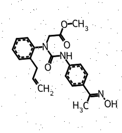 C=CCc1ccccc1N(CC(=O)OC)C(=O)Nc1ccc(C(C)=NO)cc1